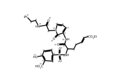 CCOC(=O)/C=C/CCC(NS(=O)(=O)c1ccc(O)c(C(=O)O)c1)C(=O)Nc1cccn(CC(=O)NCCC(C)C)c1=O